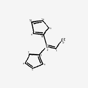 CC[CH]=[Ti]([C]1=CC=CC1)[C]1=CC=CC1